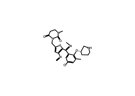 C=Nc1cc(CN2C(=O)CCN(C)C2=O)sc1/C(=N\C)c1cc(Cl)cc(C)c1O[C@H]1CCCNC1